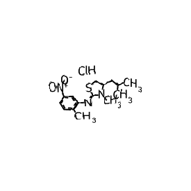 Cc1ccc([N+](=O)[O-])cc1N=C1SC[C@@H](CC(C)C)N1C.Cl